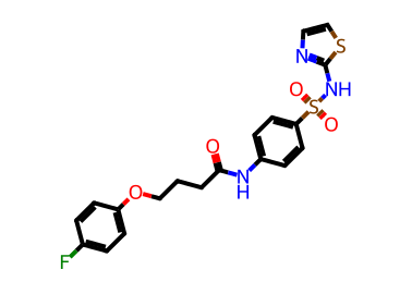 O=C(CCCOc1ccc(F)cc1)Nc1ccc(S(=O)(=O)Nc2nccs2)cc1